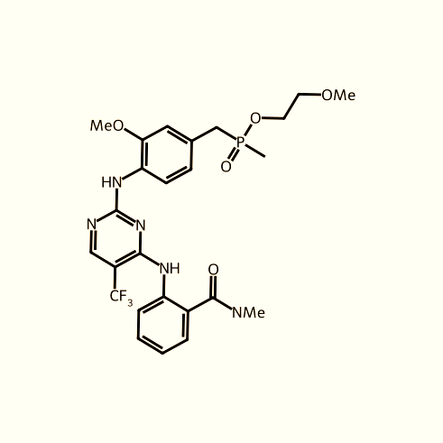 CNC(=O)c1ccccc1Nc1nc(Nc2ccc(CP(C)(=O)OCCOC)cc2OC)ncc1C(F)(F)F